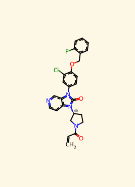 C=CC(=O)N1CC[C@H](n2c(=O)n(-c3ccc(OCc4ccccc4F)c(Cl)c3)c3cnccc32)C1